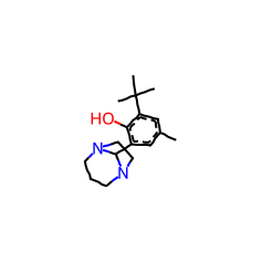 Cc1cc(C2N3CCCN2CC3)c(O)c(C(C)(C)C)c1